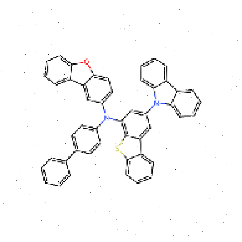 c1ccc(-c2ccc(N(c3ccc4oc5ccccc5c4c3)c3cc(-n4c5ccccc5c5ccccc54)cc4c3sc3ccccc34)cc2)cc1